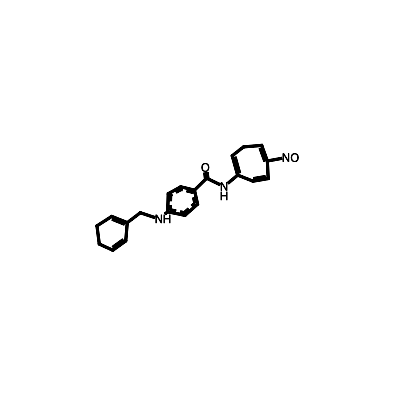 O=NC1=CCC=C(NC(=O)c2ccc(NCC3=CCCC=C3)cc2)C=C1